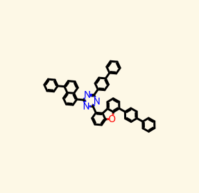 c1ccc(-c2ccc(-c3nc(-c4cccc5c(-c6ccccc6)cccc45)nc(-c4cccc5oc6c(-c7ccc(-c8ccccc8)cc7)cccc6c45)n3)cc2)cc1